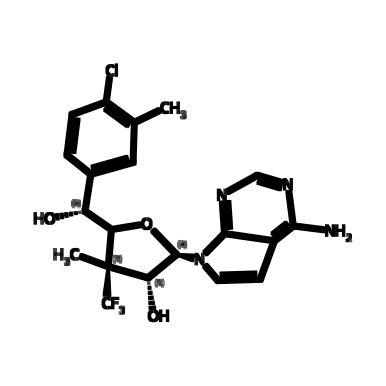 Cc1cc([C@@H](O)C2O[C@@H](n3ccc4c(N)ncnc43)[C@H](O)[C@@]2(C)C(F)(F)F)ccc1Cl